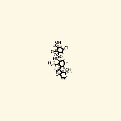 C=Cc1c(NS(=O)(=O)c2cc(Cl)cc(CO)c2Cl)cccc1-c1coc2ccnc(C)c12